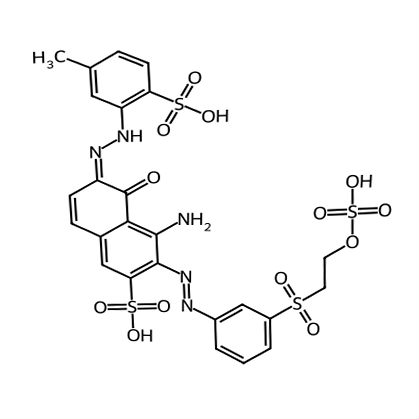 Cc1ccc(S(=O)(=O)O)c(N/N=C2/C=Cc3cc(S(=O)(=O)O)c(/N=N/c4cccc(S(=O)(=O)CCOS(=O)(=O)O)c4)c(N)c3C2=O)c1